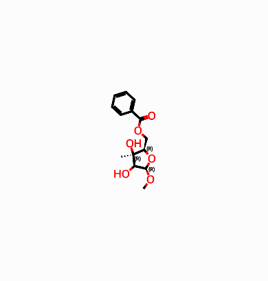 CO[C@@H]1O[C@H](COC(=O)c2ccccc2)[C@](C)(O)C1O